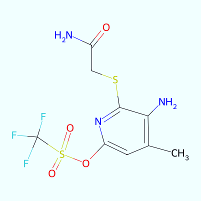 Cc1cc(OS(=O)(=O)C(F)(F)F)nc(SCC(N)=O)c1N